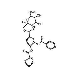 CO[C@@H]1O[C@@H]2COC(c3ccc(OC(=O)c4ccccc4)c(OC(=O)c4ccccc4)c3)O[C@H]2[C@H](O)[C@@H]1O